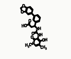 Cc1cn(C)c(=O)c(NC(=O)NC(CC(=O)O)c2cccc(-c3ccc4c(c3)OCO4)c2)c1O